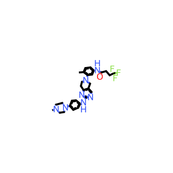 Cc1ccc(NC(=O)CCC(F)(F)F)cc1N1CCc2nc(Nc3ccc(N4CCN(C)CC4)cc3)ncc2C1